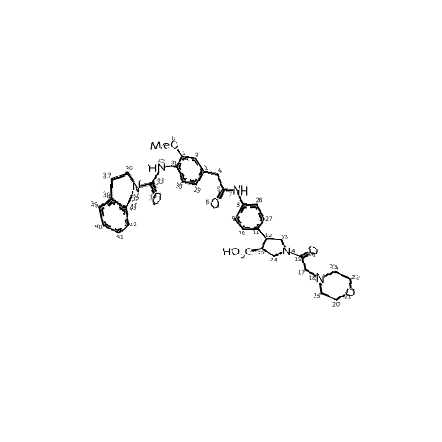 COc1cc(CC(=O)Nc2ccc(C3CN(C(=O)CN4CCOCC4)CC3C(=O)O)cc2)ccc1NC(=O)N1CCc2ccccc21